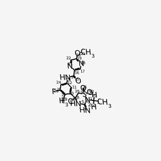 [2H]C([2H])(C)N1C(=N)N[C@](C)(c2cc(NC(=O)c3cnc(OC)cn3)cc(F)c2F)CS1(=O)=O